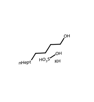 CCCCCCCCCCCO.O=S(=O)(O)O.[KH]